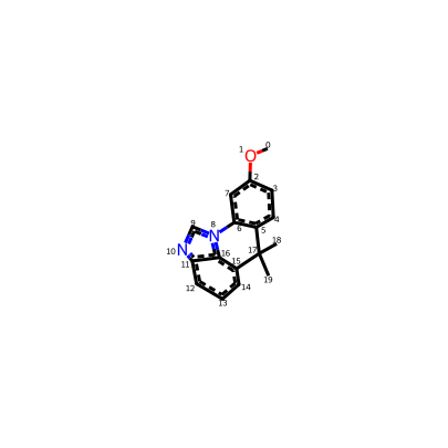 COc1ccc2c(c1)-n1cnc3cccc(c31)C2(C)C